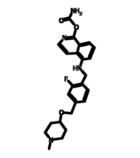 CN1CCC(OCc2ccc(CNc3cccc4c(OC(N)=O)nccc34)c(F)c2)CC1